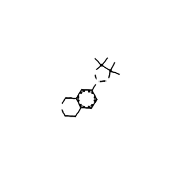 CC1(C)OB(c2ccc3c(c2)COCC3)OC1(C)C